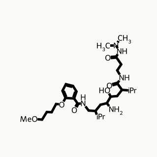 COCCCCOc1ccccc1C(=O)NCC(CC(N)C(O)CC(C(=O)NCCC(=O)NN(C)C)C(C)C)C(C)C